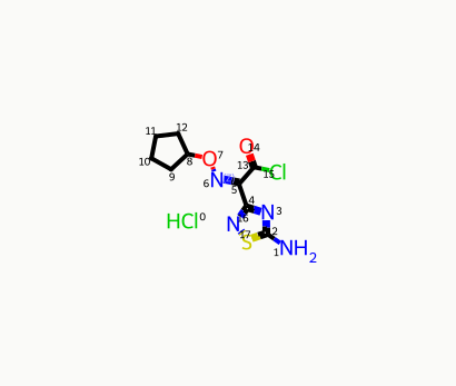 Cl.Nc1nc(/C(=N/OC2CCCC2)C(=O)Cl)ns1